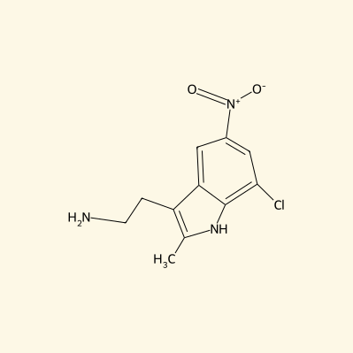 Cc1[nH]c2c(Cl)cc([N+](=O)[O-])cc2c1CCN